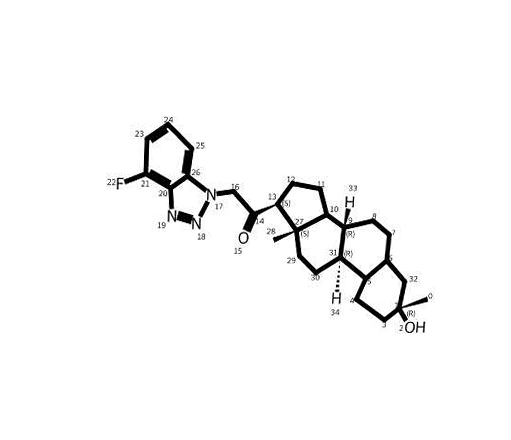 C[C@@]1(O)CCC2C(CC[C@H]3C4CC[C@H](C(=O)Cn5nnc6c(F)cccc65)[C@@]4(C)CC[C@H]23)C1